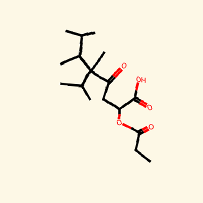 CCC(=O)OC(CC(=O)C(C)(C(C)C)C(C)C(C)C)C(=O)O